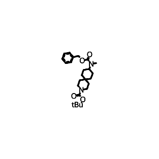 CN(C(=O)OCc1ccccc1)C1CCC2(CC1)CCN(C(=O)OC(C)(C)C)CC2